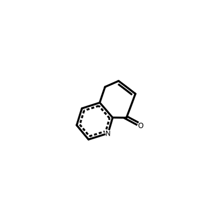 O=C1C=CCc2cccnc21